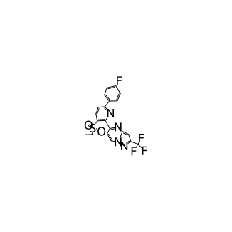 CCS(=O)(=O)c1ccc(-c2ccc(F)cc2)nc1-c1ccn2nc(C(F)(F)F)cc2n1